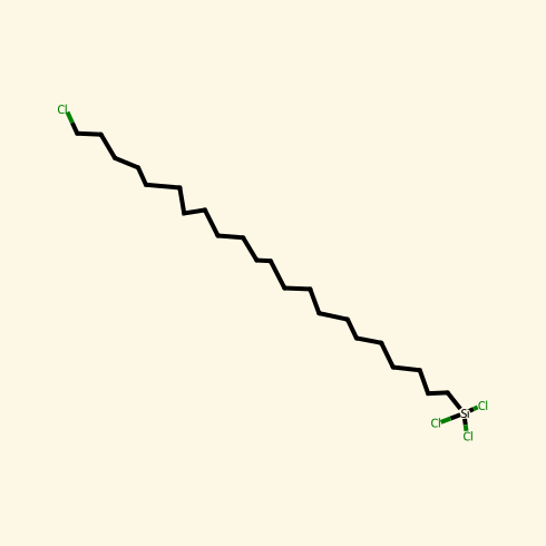 ClCCCCCCCCCCCCCCCCCCCCCC[Si](Cl)(Cl)Cl